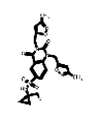 Cc1cc(Cn2c(=O)c3cc(S(=O)(=O)NC4(CF)CC4)ccc3n(Cc3cc(C)no3)c2=O)on1